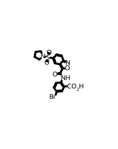 O=C(O)c1cc(Br)ccc1NC(=O)c1onc2ccc(S(=O)(=O)N3CCCC3)cc12